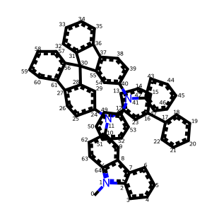 Cn1c2ccccc2c2cc(N(c3cccc(-c4ccccc4)c3)c3ccc4c(c3)C3(c5ccccc5-c5ccc(N(c6ccccc6)c6ccccc6)cc53)c3ccccc3-4)ccc21